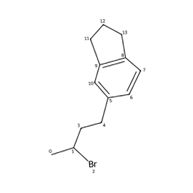 CC(Br)CCc1ccc2c(c1)CCC2